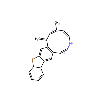 C=C1/C=C(C)\C=C/N/C=C\c2cc3c(cc21)SC1C=CC=CC31